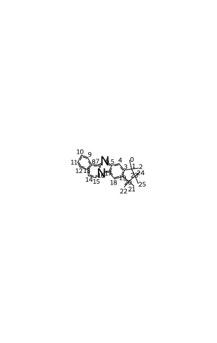 CC1(C)c2cc3nc4c5ccccc5ccn4c3cc2C(C)(C)C1(C)C